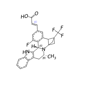 C[C@@H]1Cc2c([nH]c3ccccc23)[C@@H]2c3c(F)cc(/C=C/C(=O)O)cc3C3C4(CC3(C(F)(F)F)C4)N21